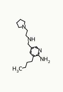 CCCCc1cc(CNCCN2CCCC2)cnc1N